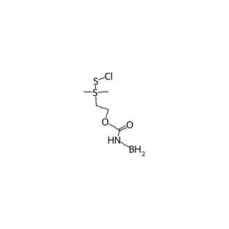 BNC(=O)OCCS(C)(C)SCl